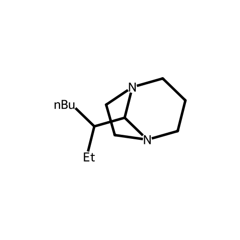 CCCCC(CC)C1N2CCCN1CC2